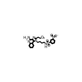 COCCc1nc2c(N)nc3ccccc3c2n1CCCCNS(=O)(=O)c1cccc([N+](=O)[O-])c1